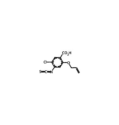 C=CCOc1cc(N=C=S)c(Cl)cc1C(=O)O